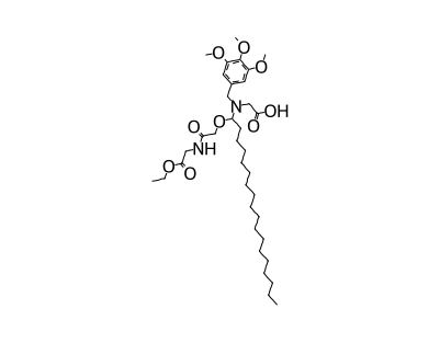 CCCCCCCCCCCCCCCCCC(OCC(=O)NCC(=O)OCC)N(CC(=O)O)Cc1cc(OC)c(OC)c(OC)c1